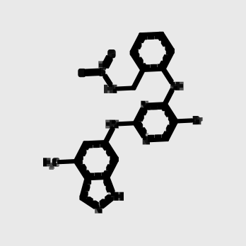 Cc1cc(Nc2ncc(Br)c(Nc3ccccc3CN[SH](=O)=O)n2)cc2[nH]ncc12